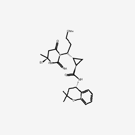 CC[C@@]1(C)CC(=O)N(C(CCOC)[C@@H]2C[C@H]2C(=O)N[C@H]2CC(C)(C)Oc3ccccc32)C(=N)N1